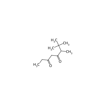 CCC(=O)CC(=O)C(C)C(C)(C)C